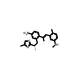 Bc1ccc(/C(C)=C/c2cc(BC)ccc2C)c(C[C@H](C)c2nc(C)cs2)c1